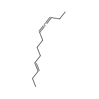 CCC=C=CCCCC=CCC